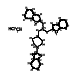 Cl.Cl.c1ccc2oc(CN(Cc3cc4ccccc4o3)CC3CCN(c4nc5ccccc5s4)CC3)cc2c1